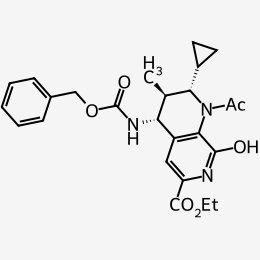 CCOC(=O)c1cc2c(c(O)n1)N(C(C)=O)[C@@H](C1CC1)[C@H](C)[C@H]2NC(=O)OCc1ccccc1